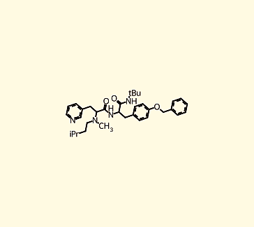 CC(C)CCN(C)C(Cc1cccnc1)C(=O)NC(Cc1ccc(OCc2ccccc2)cc1)C(=O)NC(C)(C)C